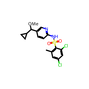 COC(c1ccc(NS(=O)(=O)c2c(C)cc(Cl)cc2Cl)nc1)C1CC1